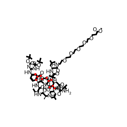 CC[C@H](NC(=O)[C@H](C)NC(=O)[C@H](CC(C)C)NC(=O)[C@H](CC(=O)OC(C)(C)C)NC(=O)CNC(=O)c1cccc(N/C(=N/C(=O)OC(C)(C)C)NC(=O)OC(C)(C)C)c1)C(=O)N[C@@H](CC(C)C)C(=O)N[C@@H](CCCNC(N)=O)C(=O)NC(C)(C)C(=O)N[C@@H](CC(C)C)C(=O)NCCOCCOCCOCCOCCOCCC(=O)OC